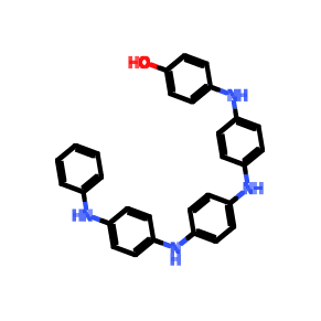 Oc1ccc(Nc2ccc(Nc3ccc(Nc4ccc(Nc5ccccc5)cc4)cc3)cc2)cc1